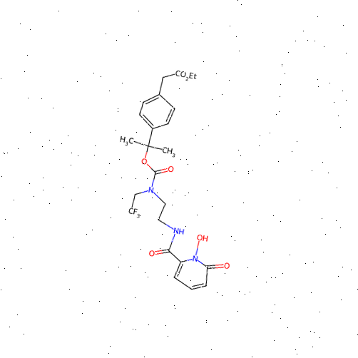 CCOC(=O)Cc1ccc(C(C)(C)OC(=O)N(CCNC(=O)c2cccc(=O)n2O)CC(F)(F)F)cc1